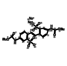 CC(C)COC(=O)Nc1ccc(/C=C/c2ccc(NC(=O)OCC(C)C)cc2S(=O)(=O)[O-])c(S(=O)(=O)[O-])c1.[Na+].[Na+]